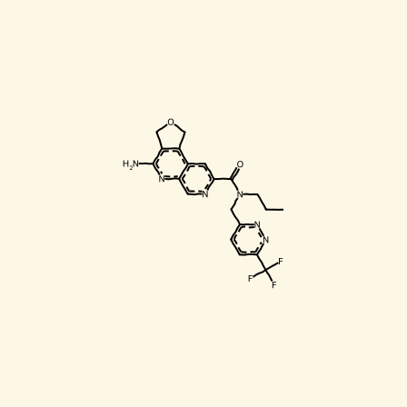 CCCN(Cc1ccc(C(F)(F)F)nn1)C(=O)c1cc2c3c(c(N)nc2cn1)COC3